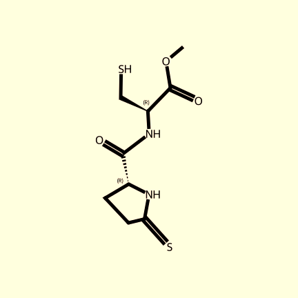 COC(=O)[C@H](CS)NC(=O)[C@H]1CCC(=S)N1